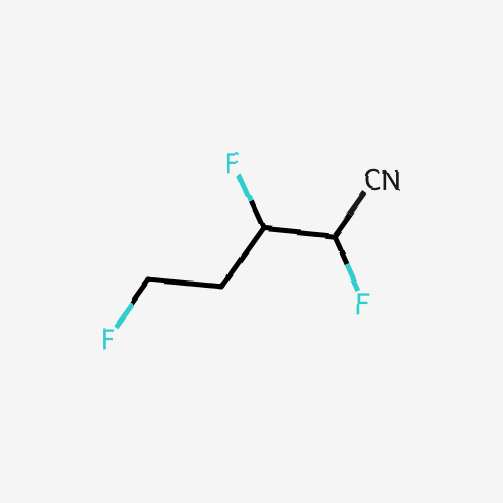 N#CC(F)C(F)CCF